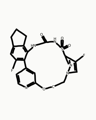 O=C1Nc2c3c(cc(F)c2-c2ccnc(c2)OCCn2cc(F)c(n2)S(=O)(=O)N1)CCC3